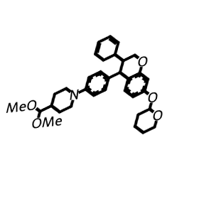 COC(OC)C1CCN(c2ccc(C3c4ccc(OC5CCCCO5)cc4OCC3C3C=CC=CC3)cc2)CC1